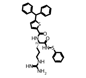 N=C(N)NCCC[C@H](NC(=O)c1ccc(C(c2ccccc2)c2ccccc2)s1)C(=O)NSc1ccccc1